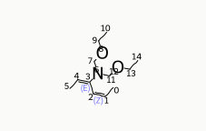 C/C=C\C(=C/C)N(COCC)COCC